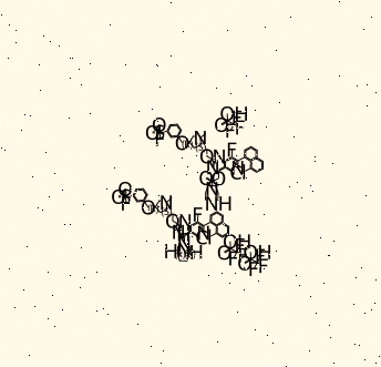 CN1C[C@H](Oc2cccc(S(=O)(=O)F)c2)C[C@H]1COc1nc(N2C[C@H]3CC[C@@H](C2)N3)c2cnc(-c3cccc4cccc(Cl)c34)c(F)c2n1.CN1C[C@H](Oc2cccc(S(=O)(=O)F)c2)C[C@H]1COc1nc(OC(=O)N2C3CCC2CNC3)c2cnc(-c3cccc4cccc(Cl)c34)c(F)c2n1.O=C(O)C(F)(F)F.O=C(O)C(F)(F)F.O=C(O)C(F)(F)F